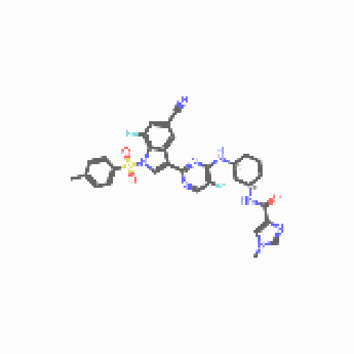 Cc1ccc(S(=O)(=O)n2cc(-c3ncc(F)c(N[C@H]4CCC[C@@H](NC(=O)c5cn(C)cn5)C4)n3)c3cc(C#N)cc(F)c32)cc1